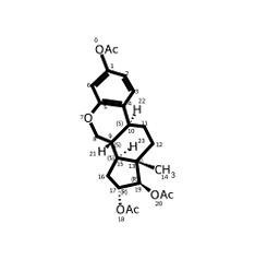 CC(=O)Oc1ccc2c(c1)OC[C@@H]1[C@@H]2CC[C@@]2(C)[C@H]1C[C@@H](OC(C)=O)[C@@H]2OC(C)=O